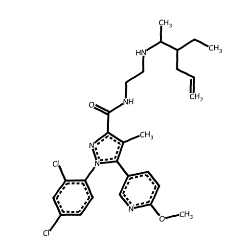 C=CCC(CC)C(C)NCCNC(=O)c1nn(-c2ccc(Cl)cc2Cl)c(-c2ccc(OC)nc2)c1C